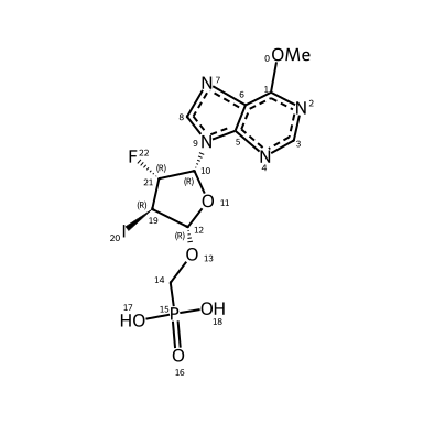 COc1ncnc2c1ncn2[C@@H]1O[C@H](OCP(=O)(O)O)[C@@H](I)[C@@H]1F